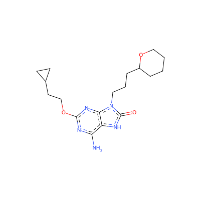 Nc1nc(OCCC2CC2)nc2c1[nH]c(=O)n2CCCC1CCCCO1